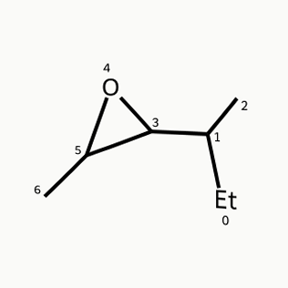 CCC(C)C1OC1C